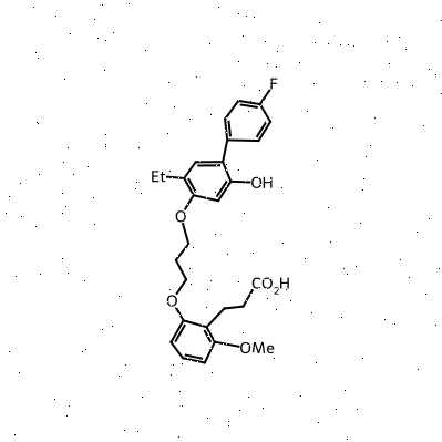 CCc1cc(-c2ccc(F)cc2)c(O)cc1OCCCOc1cccc(OC)c1CCC(=O)O